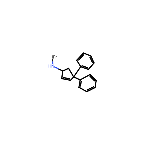 CC(C)NC1C=CC(c2ccccc2)(c2ccccc2)C1